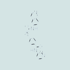 O=C(Nc1cccnn1)c1ccc(C2C[C@H]2C(=O)Nc2ccc3cnccc3c2)cc1